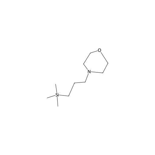 C[Si](C)(C)CCCN1CCOCC1